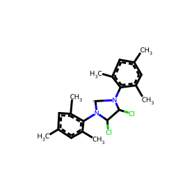 Cc1cc(C)c(N2[C]N(c3c(C)cc(C)cc3C)C(Cl)C2Cl)c(C)c1